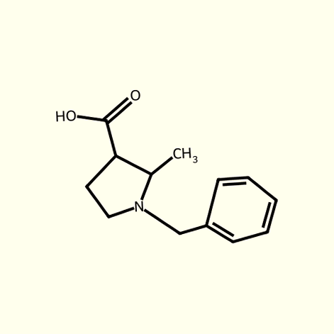 CC1C(C(=O)O)CCN1Cc1ccccc1